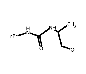 CCCNC(=O)NC(C)C[O]